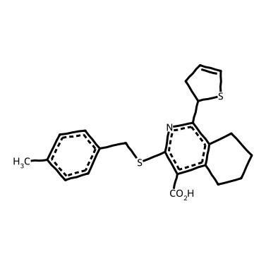 Cc1ccc(CSc2nc(C3CC=CS3)c3c(c2C(=O)O)CCCC3)cc1